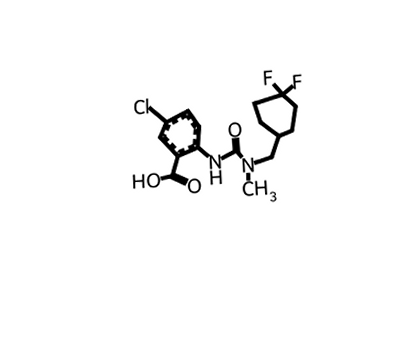 CN(CC1CCC(F)(F)CC1)C(=O)Nc1ccc(Cl)cc1C(=O)O